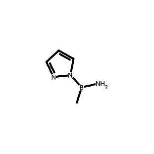 CB(N)n1cccn1